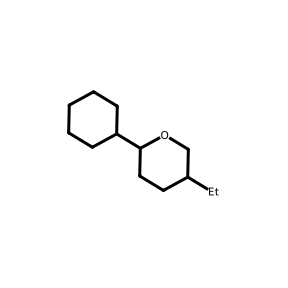 CCC1CCC(C2CCCCC2)OC1